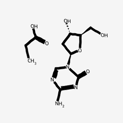 CCC(=O)O.Nc1ncn([C@H]2C[C@H](O)[C@@H](CO)O2)c(=O)n1